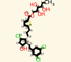 CC[C@H](O)[C@@H](O)[C@H](O)COC(=O)c1ccc(CCC[C@@H]2[C@@H](CCc3cc(Cl)cc(Cl)c3)[C@H](O)C[C@H]2Cl)s1